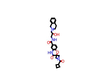 O=C(NCC(O)CN1CCc2ccccc2C1)c1ccc2c(c1)NC(=O)C1(CN(C(=O)C3CCC3)C1)O2